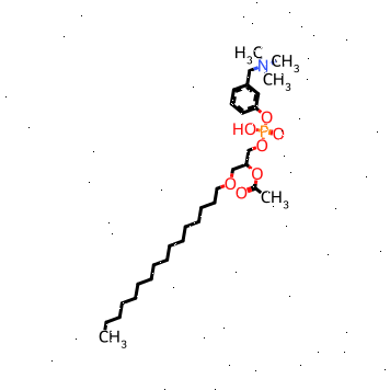 CCCCCCCCCCCCCCCCOCC(COP(=O)(O)Oc1cccc(C[N+](C)(C)C)c1)OC(C)=O